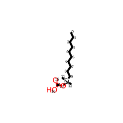 CCCCCCCCCC[Si](C)(C)OC(=O)O